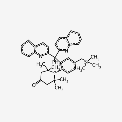 CC1(C)CC(=O)CC(C)(C)P1c1ccc(C[Si](C)(C)C)cc1C(P)(c1ccc2ccccc2n1)c1ccc2ccccc2n1